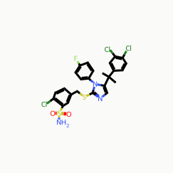 CC(C)(c1ccc(Cl)c(Cl)c1)c1cnc(SCc2ccc(Cl)c(S(N)(=O)=O)c2)n1-c1ccc(F)cc1